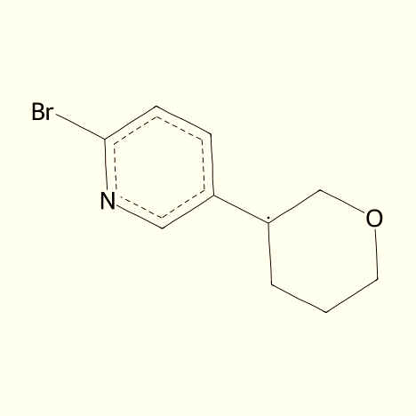 Brc1ccc([C]2CCCOC2)cn1